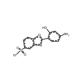 CCS(=O)(=O)c1ccc2oc(-c3ccc(N)cc3O)nc2c1